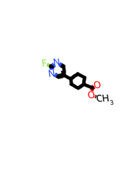 COC(=O)C1CCC(c2cnc(F)nc2)CC1